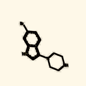 Brc1ccc2c(N3CCNCC3)c[nH]c2c1